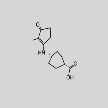 CC1=C(N[C@H]2CC[C@@H](C(=O)O)CC2)CCC1=O